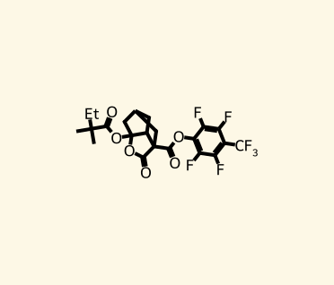 CCC(C)(C)C(=O)OC12CC3CC1C(C(=O)Oc1c(F)c(F)c(C(F)(F)F)c(F)c1F)(C3)C(=O)O2